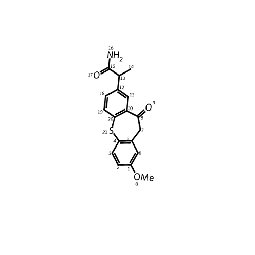 COc1ccc2c(c1)CC(=O)c1cc(C(C)C(N)=O)ccc1S2